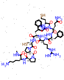 CNC(=O)[C@H](CCCCN)NC(=O)[C@@H]1CCCN1C(=O)[C@@H]1CCCN1C(=O)[C@H](CS)NC(=O)[C@H](Cc1c[nH]c2ccccc12)NC(=O)[C@H](CCCNC(=N)N)NC(=O)[C@@H](Cc1ccccc1)NC(=O)[C@H](CCC(N)=O)NC(=O)[C@H](CCS)NC(C)=O